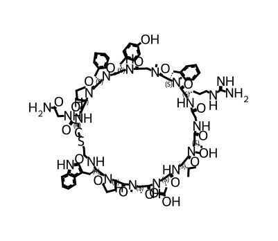 CC(C)[C@@H]1NC(=O)[C@H](CC(=O)O)NC(=O)[C@H](C)N(C)C(=O)[C@@H]2CCCN2C(=O)[C@@H](Cc2c[nH]c3ccccc23)NC(=O)CSC[C@@H](C(=O)NCC(N)=O)NC(=O)[C@@H]2CCCN2C(=O)[C@H](Cc2ccccc2)N(C)C(=O)[C@H](Cc2ccc(O)cc2)NC(=O)CN(C)C(=O)[C@H](Cc2ccccc2)N(C)C(=O)[C@H](CCCNC(=N)N)NC(=O)CNC(=O)[C@H](CO)N(C)C1=O